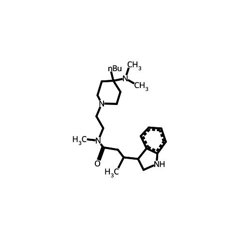 CCCCC1(N(C)C)CCN(CCN(C)C(=O)CC(C)C2CNc3ccccc32)CC1